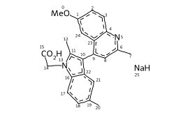 COc1ccc2nc(C)cc(-c3c(C)n(CC(=O)O)c4ccc(C)cc34)c2c1.[NaH]